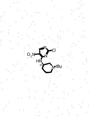 CC(C)(C)N1CCC[C@@H](Nc2nc(Cl)ncc2[N+](=O)[O-])C1